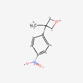 CC1(c2ccc([N+](=O)[O-])cc2)COC1